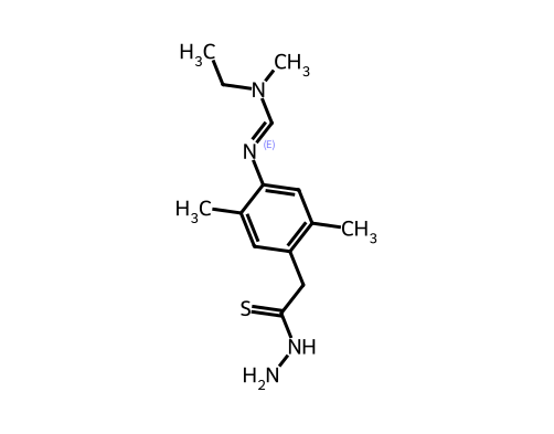 CCN(C)/C=N/c1cc(C)c(CC(=S)NN)cc1C